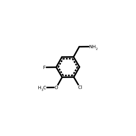 COc1c(F)cc(CN)cc1Cl